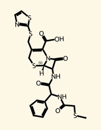 CSCC(=O)NC(C(=O)NC1C(=O)N2C(C(=O)O)=C(CSc3nccs3)CS[C@@H]12)c1ccccc1